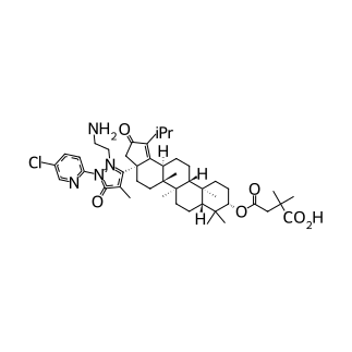 Cc1c([C@@]23CC[C@]4(C)[C@H](CC[C@@H]5[C@@]6(C)CC[C@H](OC(=O)CC(C)(C)C(=O)O)C(C)(C)[C@@H]6CC[C@]54C)C2=C(C(C)C)C(=O)C3)n(CCN)n(-c2ccc(Cl)cn2)c1=O